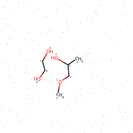 COCC(C)O.OCCO